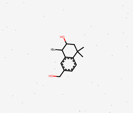 CC1(C)CC(O)C(C(C)(C)C)c2cc(CO)ccc21